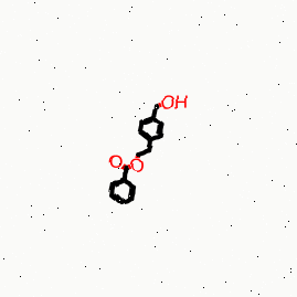 O=C(OCCc1ccc(CO)cc1)c1ccccc1